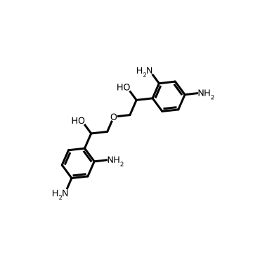 Nc1ccc(C(O)COCC(O)c2ccc(N)cc2N)c(N)c1